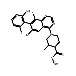 CC1CN(c2ncnc3c(F)c(-c4c(O)cccc4F)c(Cl)cc23)CCN1C(=O)OC(C)(C)C